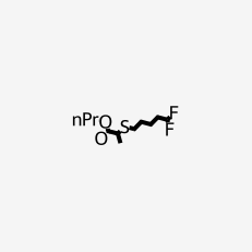 CCCOC(=O)C(C)SCCCCC(F)F